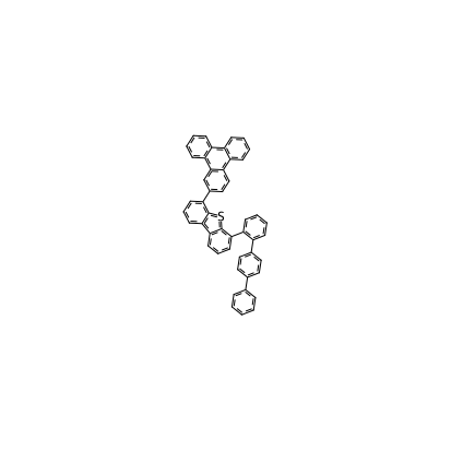 c1ccc(-c2ccc(-c3ccccc3-c3cccc4c3sc3c(-c5ccc6c7ccccc7c7ccccc7c6c5)cccc34)cc2)cc1